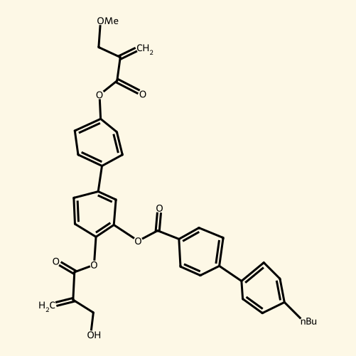 C=C(COC)C(=O)Oc1ccc(-c2ccc(OC(=O)C(=C)CO)c(OC(=O)c3ccc(-c4ccc(CCCC)cc4)cc3)c2)cc1